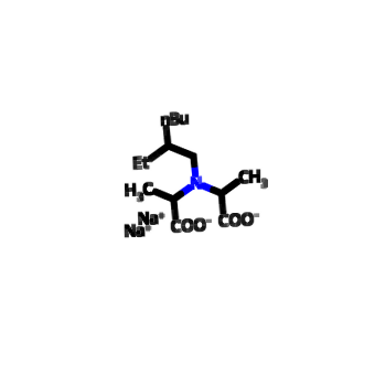 CCCCC(CC)CN(C(C)C(=O)[O-])C(C)C(=O)[O-].[Na+].[Na+]